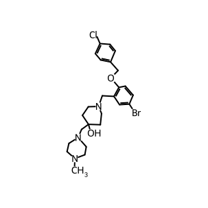 CN1CCN(CC2(O)CCN(Cc3cc(Br)ccc3OCc3ccc(Cl)cc3)CC2)CC1